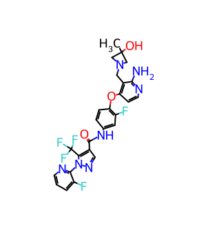 CC1(O)CN(Cc2c(Oc3ccc(NC(=O)c4cnn(-c5ncccc5F)c4C(F)(F)F)cc3F)ccnc2N)C1